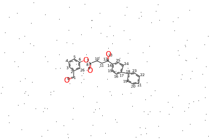 O=Cc1cccc(OC(=O)CCC(=O)c2ccc(-c3ccccc3)cc2)c1